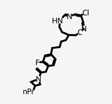 C=C(Cc1ccc(CCCCC2CC\N=C/C(Cl)=C\N=C\NCC2)cc1F)N1CC(CCC)C1